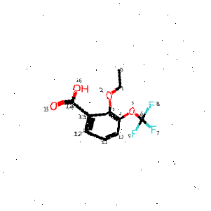 CCOc1c(OC(F)(F)F)cccc1C(=O)O